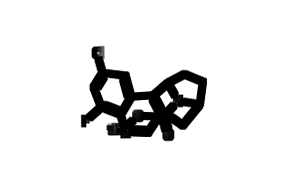 CC(C)(C)OC(=O)N1C2CCC1c1c(cnc3c(F)cc(Cl)cc13)C2